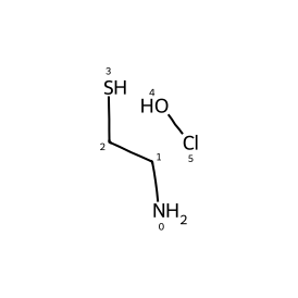 NCCS.OCl